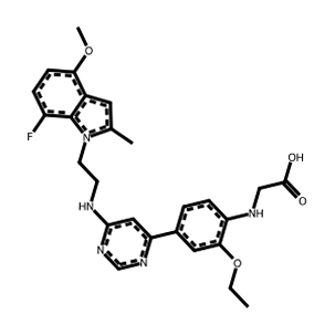 CCOc1cc(-c2cc(NCCn3c(C)cc4c(OC)ccc(F)c43)ncn2)ccc1NCC(=O)O